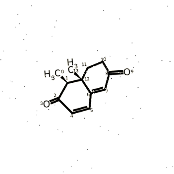 C[C@@H]1C(=O)C=CC2=CC(=O)CC[C@]21C